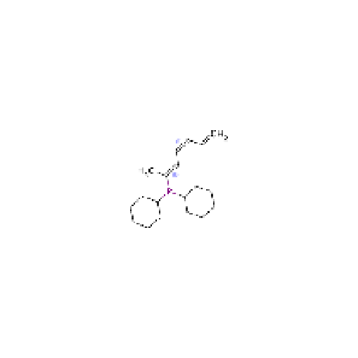 C=C/C=C\C=C(/C)P(C1CCCCC1)C1CCCCC1